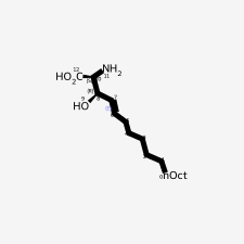 CCCCCCCCCCCCC/C=C/[C@@H](O)[C@H](N)C(=O)O